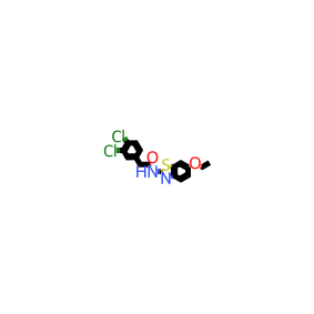 CCOc1ccc2nc(NC(=O)Cc3ccc(Cl)c(Cl)c3)sc2c1